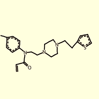 C=CC(=O)N(CCN1CCN(CCc2cccs2)CC1)c1ccc(C)cc1